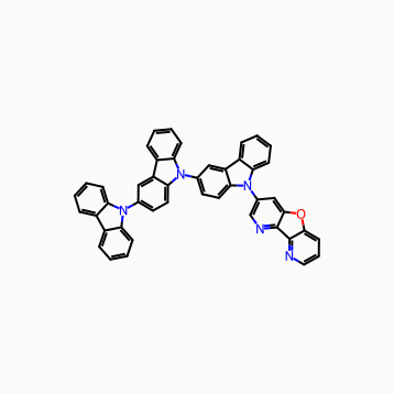 c1cnc2c(c1)oc1cc(-n3c4ccccc4c4cc(-n5c6ccccc6c6cc(-n7c8ccccc8c8ccccc87)ccc65)ccc43)cnc12